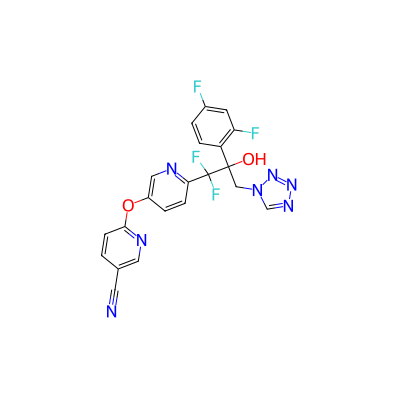 N#Cc1ccc(Oc2ccc(C(F)(F)C(O)(Cn3cnnn3)c3ccc(F)cc3F)nc2)nc1